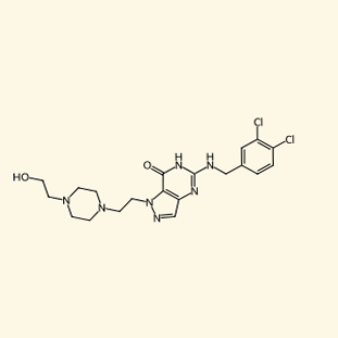 O=c1[nH]c(NCc2ccc(Cl)c(Cl)c2)nc2cnn(CCN3CCN(CCO)CC3)c12